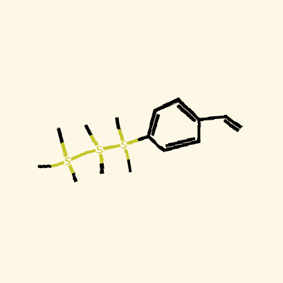 C=Cc1ccc(S(C)(C)S(C)(C)S(C)(C)C)cc1